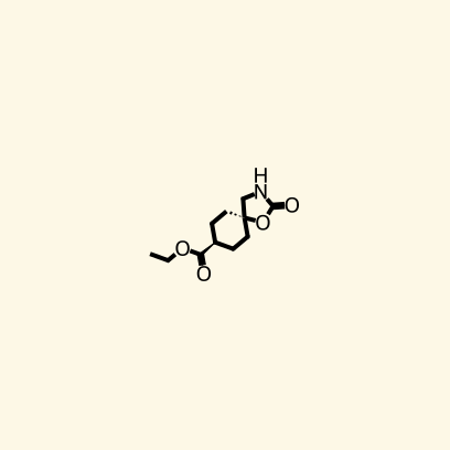 CCOC(=O)[C@H]1CC[C@]2(CC1)CNC(=O)O2